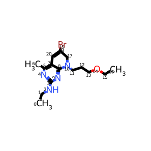 CCNc1nc(C)c2c(n1)N(CCCOCC)CC(Br)=C2